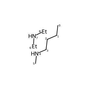 CCCCNC.CCNCC